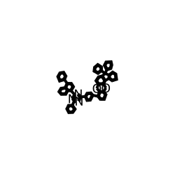 c1ccc(-c2nc(-c3ccc(-c4cccc5c4Oc4ccc6c(c4O5)-c4ccccc4C6(c4ccccc4)c4ccccc4)cc3)nc(-c3ccc(-c4ccccc4)c4ccccc34)n2)cc1